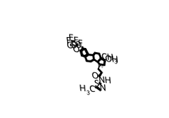 Cc1cnc(NC(=O)CC[C@@H]2CC(O)[C@@]3(C)CCC4c5cc(F)c(OS(=O)(=O)C(F)(F)F)cc5CCC4C23)s1